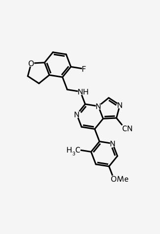 COc1cnc(-c2cnc(NCc3c(F)ccc4c3CCO4)n3cnc(C#N)c23)c(C)c1